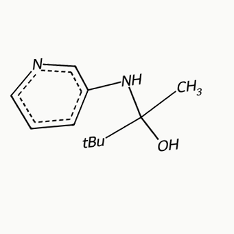 CC(C)(C)C(C)(O)Nc1cccnc1